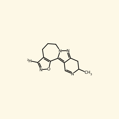 [2H]c1noc2c1CCCn1nc3c(c1-2)C=NC(C)C3